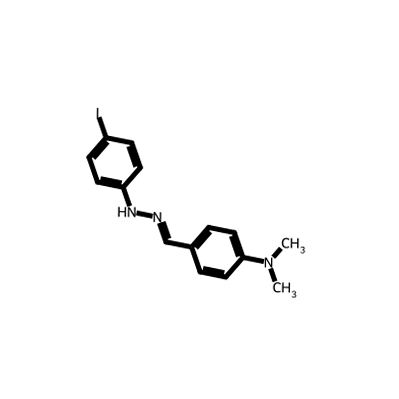 CN(C)c1ccc(C=NNc2ccc(I)cc2)cc1